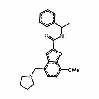 COc1ccc(CN2CCCC2)c2cc(C(=O)NC(C)c3ccccc3)oc12